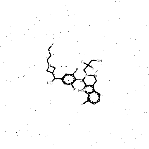 C[C@@H]1Cc2c([nH]c3c(F)cccc23)[C@@H](c2c(F)cc(C(O)C3CN(CCCF)C3)cc2F)N1CC(F)(F)CO